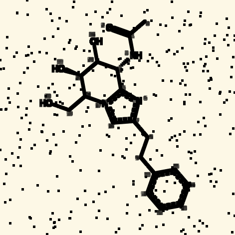 CC(=O)N[C@@H]1c2nc(CCc3ccccc3)cn2C(CO)[C@@H](O)C1O